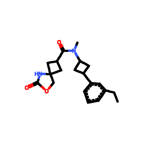 CCc1cccc(C2CC(N(C)C(=O)C3CC4(COC(=O)N4)C3)C2)c1